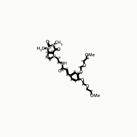 COCCOCOc1ccc(C=CC(=O)NCCn2cnc3c2c(=O)n(C)c(=O)n3C)cc1OCOCCOC